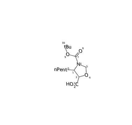 CCCCCC1C(C(=O)O)OCN1C(=O)OC(C)(C)C